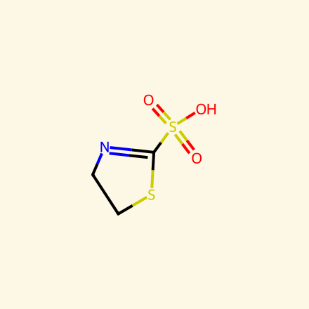 O=S(=O)(O)C1=NCCS1